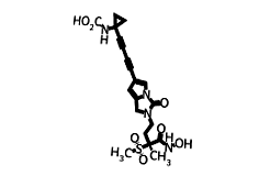 C[C@@](CCN1Cc2cc(C#CC#CC3(NC(=O)O)CC3)cn2C1=O)(C(=O)NO)S(C)(=O)=O